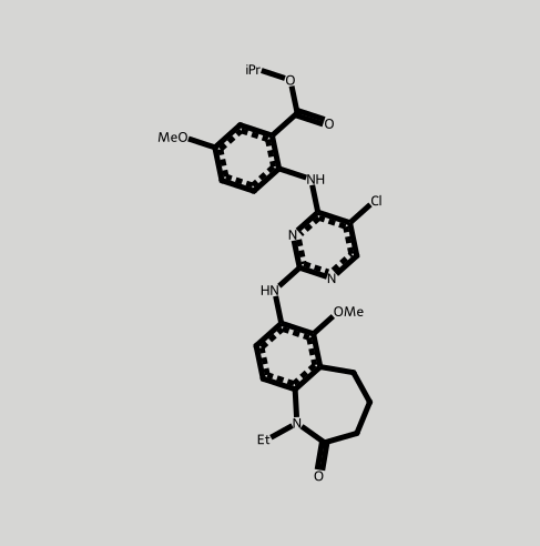 CCN1C(=O)CCCc2c1ccc(Nc1ncc(Cl)c(Nc3ccc(OC)cc3C(=O)OC(C)C)n1)c2OC